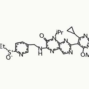 CC[S+]([O-])c1ccc(CNc2nc3cnc(-c4c(OC)ncnc4C4CC4)nc3n(C(C)C)c2=O)cn1